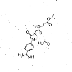 CC(=O)O.CCOC(=O)CCNC(=O)CN1CCN(c2ccc(C(=N)N)cc2)CC1=O